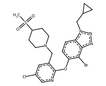 CS(=O)(=O)C1CCN(Cc2cc(Cl)cnc2Oc2ccc3c(nnn3CC3CC3)c2Br)CC1